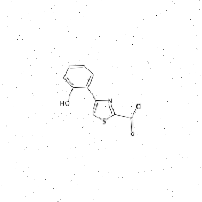 O=C(Cl)c1nc(-c2ccccc2O)cs1